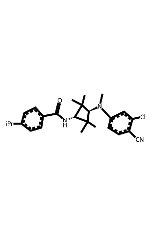 CC(C)c1ccc(C(=O)N[C@H]2C(C)(C)[C@H](N(C)c3ccc(C#N)c(Cl)c3)C2(C)C)cc1